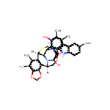 COc1ccc2[nH]c3c(c2c1)CCN[C@]31CS[C@@H]2c3c(OC(C)=O)c(C)c4c(c3[C@H](COC1=O)N1C2C2NCC1(O)Cc1cc(C)c(OC)c(O)c12)OCO4